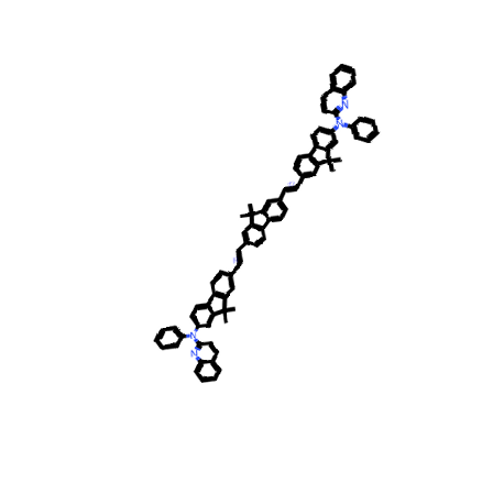 CC1(C)c2cc(/C=C/c3ccc4c(c3)C(C)(C)c3cc(N(c5ccccc5)c5ccc6ccccc6n5)ccc3-4)ccc2-c2ccc(/C=C/c3ccc4c(c3)C(C)(C)c3cc(N(c5ccccc5)c5ccc6ccccc6n5)ccc3-4)cc21